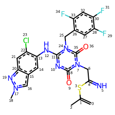 C=C(C)SC(=N)Cn1c(=O)nc(Nc2cc3cn(C)nc3cc2Cl)n(Cc2cc(F)c(F)cc2F)c1=O